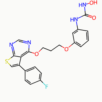 O=C(NO)Nc1cccc(OCCCOc2ncnc3scc(-c4ccc(F)cc4)c23)c1